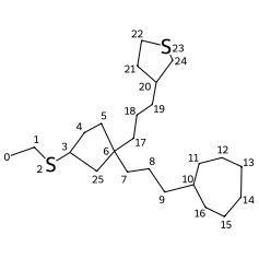 CCSC1CCC(CCCC2CCCCCC2)(CCCC2CCSC2)C1